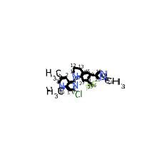 CC1=Cc2c(cc(Cl)nc2N2CCCc3cc(-c4cnn(C)c4)c(C(F)F)cc32)N(C)C1